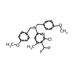 COc1ccc(CN(Cc2ccc(OC)cc2)c2cc(C)c(C(F)F)c(Cl)n2)cc1